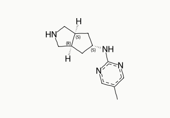 Cc1cnc(N[C@@H]2C[C@H]3CNC[C@H]3C2)nc1